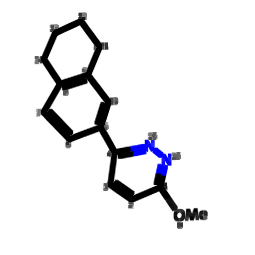 COc1ccc(-c2ccc3c(c2)[C]CCC3)nn1